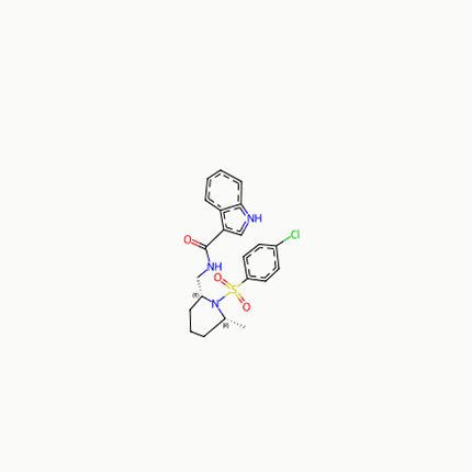 C[C@@H]1CCC[C@H](CNC(=O)c2c[nH]c3ccccc23)N1S(=O)(=O)c1ccc(Cl)cc1